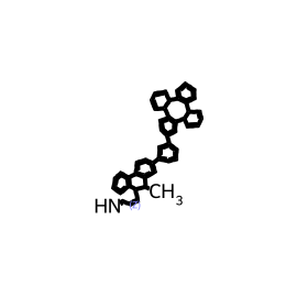 CC1c2cc(-c3cccc(-c4ccc5c(c4)C4C=CC=CC4c4ccccc4C4C=CC=CC54)c3)ccc2-c2ccccc2C1/C=C\C=N